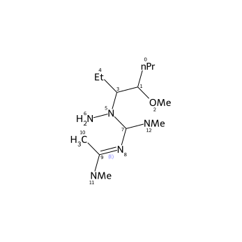 CCCC(OC)C(CC)N(N)C(/N=C(\C)NC)NC